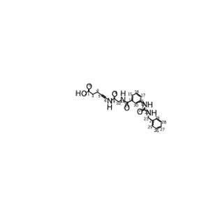 O=C(O)CCC#CNC(=O)CNC(=O)c1cccc(NC(=O)NCc2ccccc2)c1